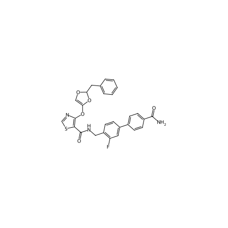 NC(=O)c1ccc(-c2ccc(CNC(=O)c3scnc3OC3=COC(Cc4ccccc4)O3)c(F)c2)cc1